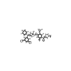 C[C@@H]1C[C@@H](F)CN1C(=O)c1cc(C2CC2)c(OCC2(C)CN([C@@H](c3ccccc3)c3cc(Cl)cc(Cl)c3)C2)cc1F